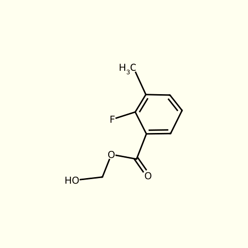 Cc1cccc(C(=O)OCO)c1F